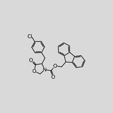 O=C1OCN(C(=O)OCC2c3ccccc3-c3ccccc32)C1Cc1ccc(Cl)cc1